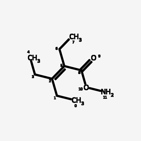 CCC(CC)=C(CC)C(=O)ON